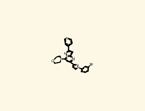 Brc1cccc(-n2ccc(-c3cc(N4CCOCC4)n4nc(-c5ccncc5)cc4n3)n2)c1